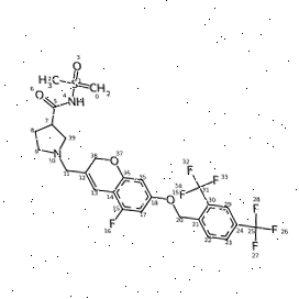 C=S(C)(=O)NC(=O)C1CCN(CC2=Cc3c(F)cc(OCc4ccc(C(F)(F)F)cc4C(F)(F)F)cc3OC2)C1